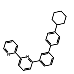 c1ccc(-c2cccc(-c3cccc(-c4ccc(C5CCCCC5)cc4)c3)n2)nc1